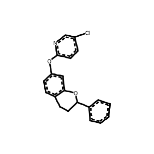 Clc1ccc(Oc2ccc3c(c2)OC(c2ccccc2)CC3)nc1